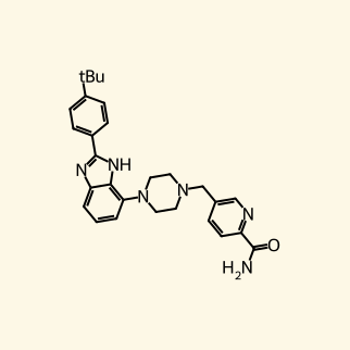 CC(C)(C)c1ccc(-c2nc3cccc(N4CCN(Cc5ccc(C(N)=O)nc5)CC4)c3[nH]2)cc1